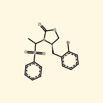 CC(N1C(=O)OC[C@H]1Cc1ccccc1Br)S(=O)(=O)c1ccccc1